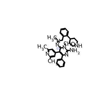 Cc1cc(-c2c(-c3ccccc3)nc(N)n(C=O)/c2=N\N(C)Cc2ccccc2C2CCNCC2)cc(C)n1